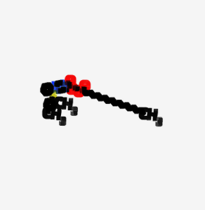 CCCCCCCCCCCCCCCCCC(=O)OCOC(=O)N1CCN(c2ccccc2Sc2ccc(C)cc2C)CC1